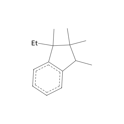 CCC1(C)c2ccccc2C(C)C1(C)C